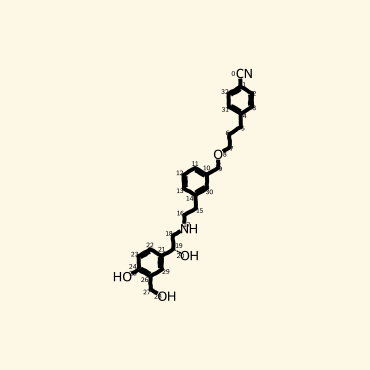 N#Cc1ccc(CCCOCc2cccc(CCNC[C@H](O)c3ccc(O)c(CO)c3)c2)cc1